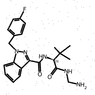 CC(C)(C)[C@H](NC(=O)c1nn(Cc2ccc(F)cc2)c2ccccc12)C(=O)NCN